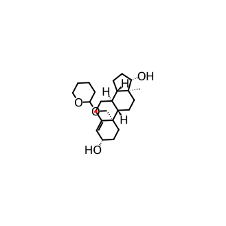 C[C@]12CC[C@H]3[C@@H](CCC4=C[C@@H](O)CC[C@@]43COC3CCCCO3)[C@@H]1CC[C@@H]2O